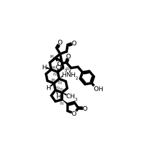 C[C@]12CC3C(C=O)(CC=O)[C@@]3(OC(=O)[C@@H](N)Cc3ccc(O)cc3)C[C@H]1CC[C@@H]1[C@@H]2CC[C@]2(C)[C@@H](C3=CC(=O)OC3)CC[C@@H]12